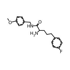 COc1ccc(CNC(=O)C(N)CCCc2ccc(F)cc2)cc1